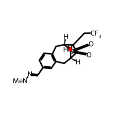 CN/N=C/c1ccc2c(c1)C[C@H]1CC[C@@H](C2)[C@]12CN(CC(F)(F)F)S(=O)(=O)N2